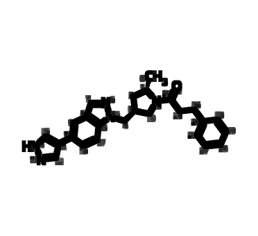 C[C@H]1C[C@H](Cn2ncc3cc(-c4cn[nH]c4)ccc32)CN1C(=O)CCc1ccccc1